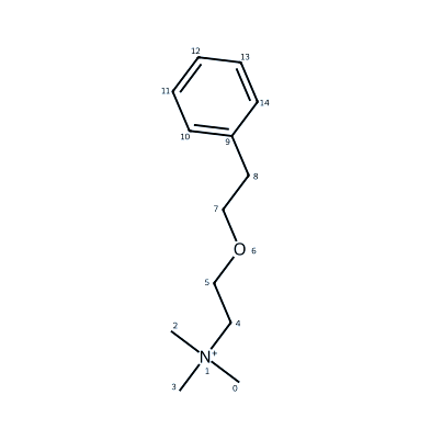 C[N+](C)(C)CCOCCc1ccccc1